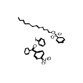 CCCCCCCCCCCCOS(=O)(=O)c1ccccc1.Ic1ccccc1.O=C(c1ccccc1)c1ccc([N+](=O)[O-])cc1